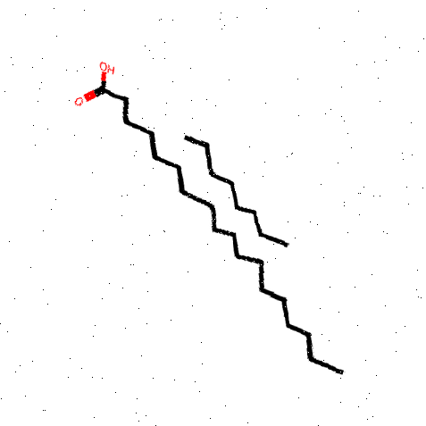 CCCCCCCC.CCCCCCCCCCCCCCCCCC(=O)O